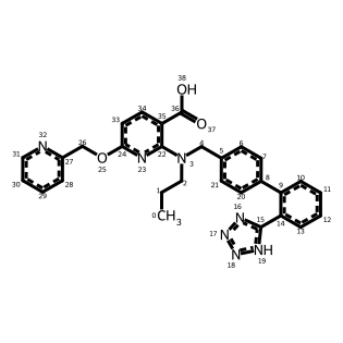 CCCN(Cc1ccc(-c2ccccc2-c2nnn[nH]2)cc1)c1nc(OCc2ccccn2)ccc1C(=O)O